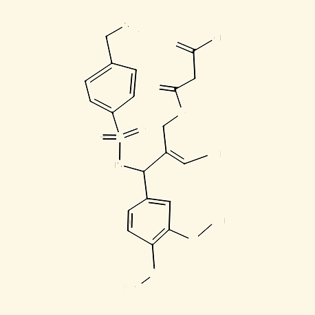 CC=C(COC(=O)CC(C)=O)C(NS(=O)(=O)c1ccc(CN)cc1)c1ccc(OC)c(OC)c1